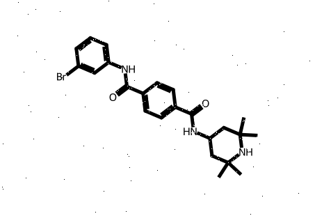 CC1(C)CC(NC(=O)c2ccc(C(=O)Nc3cccc(Br)c3)cc2)CC(C)(C)N1